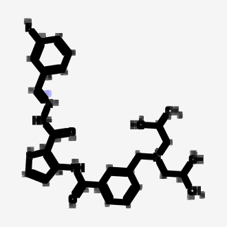 CC(O)CN(Cc1cccc(C(=O)Nc2ccsc2C(=O)N/N=C/c2cccc(F)c2)c1)CC(C)O